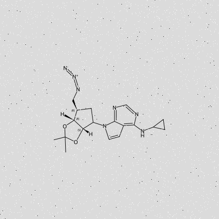 CC1(C)O[C@@H]2[C@@H](CN=[N+]=[N-])CC(n3ccc4c(NC5CC5)ncnc43)[C@@H]2O1